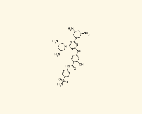 N[C@@H]1C[C@H](N)CN(c2nc(Nc3ccc(C(=O)Nc4ccc(S(N)(=O)=O)cc4)c(O)c3)nc(N3C[C@H](N)C[C@H](N)C3)n2)C1